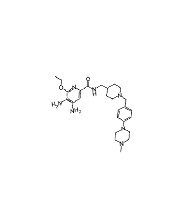 CCOc1nc(C(=O)NCC2CCN(Cc3ccc(N4CCN(C)CC4)cc3)CC2)cc(N)c1N